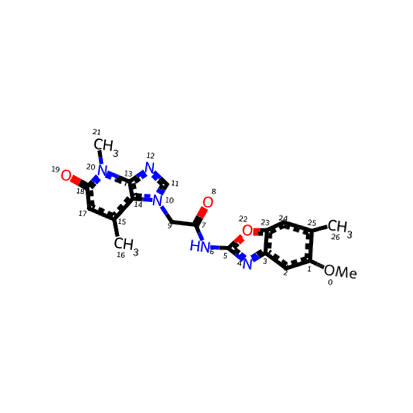 COc1cc2nc(NC(=O)Cn3cnc4c3c(C)cc(=O)n4C)oc2cc1C